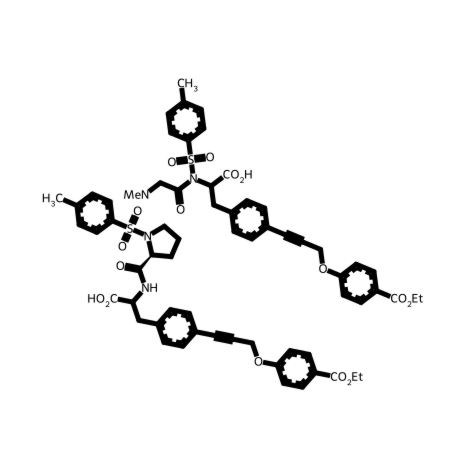 CCOC(=O)c1ccc(OCC#Cc2ccc(CC(C(=O)O)N(C(=O)CNC)S(=O)(=O)c3ccc(C)cc3)cc2)cc1.CCOC(=O)c1ccc(OCC#Cc2ccc(CC(NC(=O)[C@@H]3CCCN3S(=O)(=O)c3ccc(C)cc3)C(=O)O)cc2)cc1